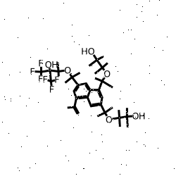 C=C(C)c1cc(C(C)(C)OC(C)(C)C(O)(C(F)(F)F)C(F)(F)F)cc2c(C(C)(C)OC(C)(C)C(C)(C)O)cc(C(C)(C)OC(C)(C)C(C)(C)O)cc12